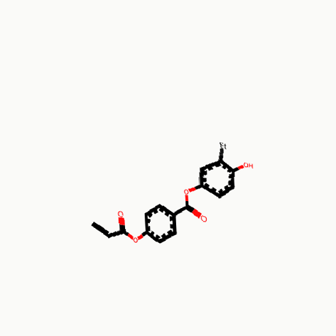 C=CC(=O)Oc1ccc(C(=O)Oc2ccc(O)c(CC)c2)cc1